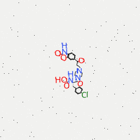 O=C(O)N[C@@H](Cc1ccc(Cl)cc1)C(=O)N1CCN(CCC(=O)c2ccc3[nH]c(=O)oc3c2)CC1